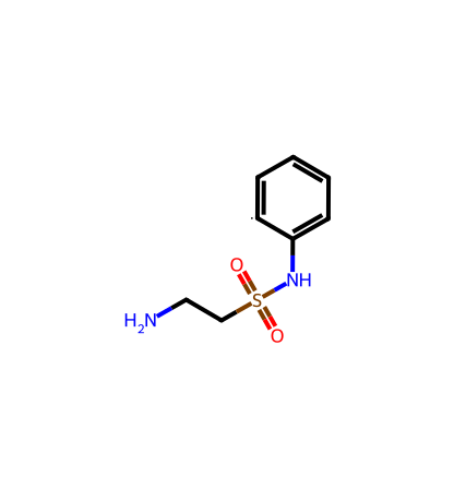 NCCS(=O)(=O)Nc1[c]cccc1